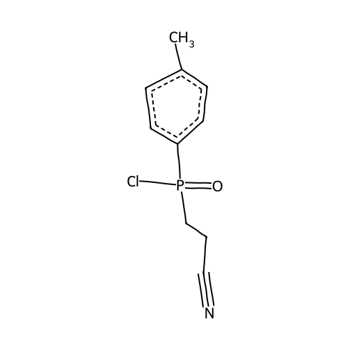 Cc1ccc(P(=O)(Cl)CCC#N)cc1